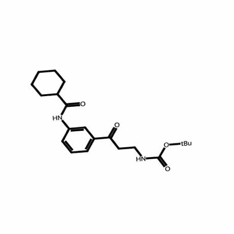 CC(C)(C)OC(=O)NCCC(=O)c1cccc(NC(=O)C2CCCCC2)c1